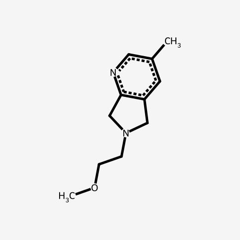 COCCN1Cc2cc(C)cnc2C1